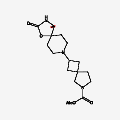 COC(=O)N1CCC2(CC(N3CCC4(CC3)OC(=O)NC43CCC3)C2)C1